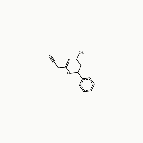 CCCC(NC(=O)CC#N)c1ccccc1